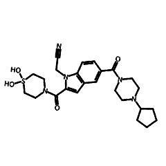 N#CCn1c(C(=O)N2CCS(O)(O)CC2)cc2cc(C(=O)N3CCN(C4CCCC4)CC3)ccc21